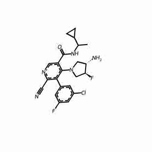 CC(NC(=O)c1cnc(C#N)c(-c2cc(F)cc(Cl)c2)c1N1C[C@H](N)[C@@H](F)C1)C1CC1